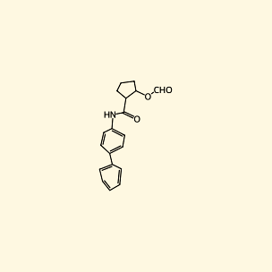 O=COC1CCCC1C(=O)Nc1ccc(-c2ccccc2)cc1